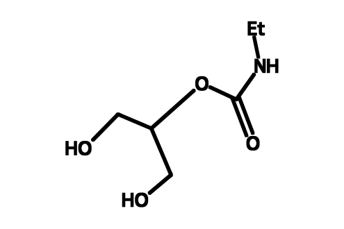 CCNC(=O)OC(CO)CO